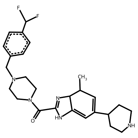 CC1C=C(C2CCNCC2)C=C2NC(C(=O)N3CCN(Cc4ccc(C(F)F)cc4)CC3)=NC21